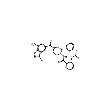 Cc1cc(C(=O)N2CC[C@@H](NC(=O)c3ncccc3OC(F)F)[C@@H](c3ccccc3)C2)cn2c(C)cnc12